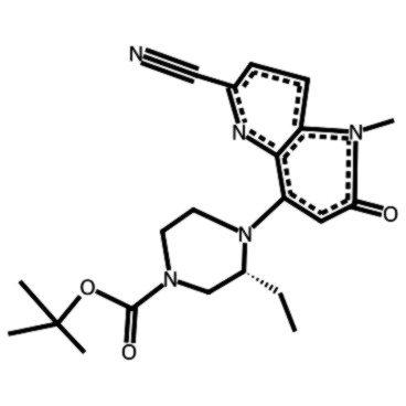 CC[C@@H]1CN(C(=O)OC(C)(C)C)CCN1c1cc(=O)n(C)c2ccc(C#N)nc12